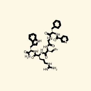 CC(C)C[C@H](NC(=O)CNC(=O)[C@H](Cc1ccccc1)NC(=O)c1cccnc1)C(=O)N[C@@H](CCCNC(=N)N)C(=O)N[C@@H](Cc1c[nH]c2ccccc12)C(N)=O